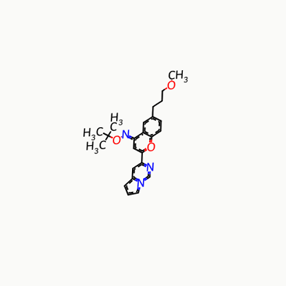 COCCCc1ccc2oc(-c3cc4cccn4cn3)cc(=NOC(C)(C)C)c2c1